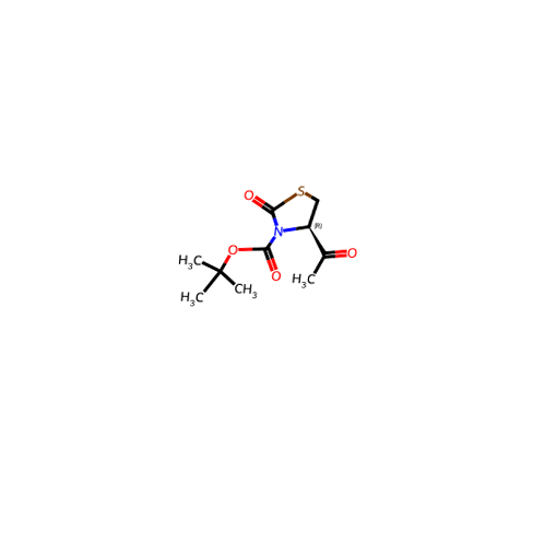 CC(=O)[C@@H]1CSC(=O)N1C(=O)OC(C)(C)C